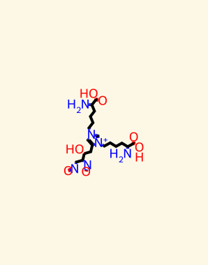 NC(CCCCn1cc(CC(O)C(CN=O)N=O)[n+](CCCCC(N)C(=O)O)c1)C(=O)O